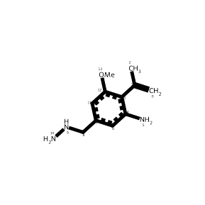 C=C(C)c1c(N)cc(CNN)cc1OC